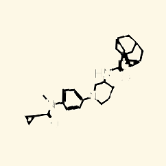 CN(C(=O)C1CC1)c1ccc(N2CCCC(NC(=O)C34CC5CC(C3)C(O)C(C5)C4)C2)cc1